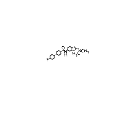 CN(C)CC1=Cc2ccc(NC(=O)c3ccc(-c4ccc(F)cc4)cc3)cc2C1